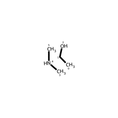 CCO.CNC